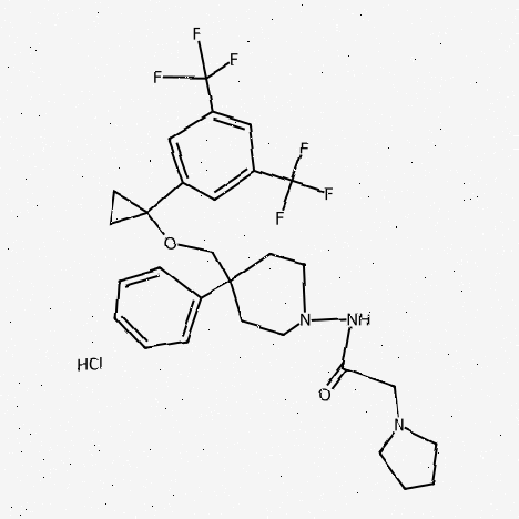 Cl.O=C(CN1CCCC1)NN1CCC(COC2(c3cc(C(F)(F)F)cc(C(F)(F)F)c3)CC2)(c2ccccc2)CC1